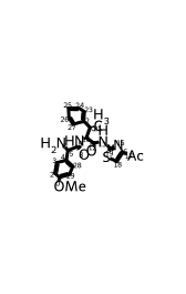 COc1ccc(C(N)C(=O)N[C@H](C(=O)Nc2nc(C(C)=O)cs2)[C@@H](C)c2ccccc2)cc1